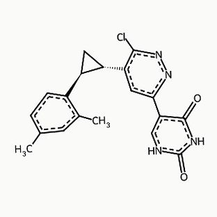 Cc1ccc([C@H]2C[C@@H]2c2cc(-c3c[nH]c(=O)[nH]c3=O)nnc2Cl)c(C)c1